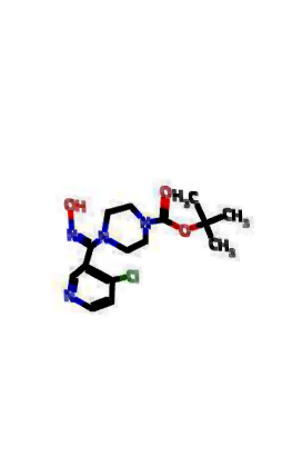 CC(C)(C)OC(=O)N1CCN(/C(=N\O)c2cnccc2Cl)CC1